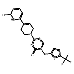 O=c1nc(N2CC=C(C3=CC=CC(Cl)N3)CC2)ncn1Cc1ccc(C(F)(F)F)s1